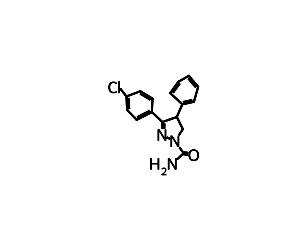 NC(=O)N1CC(c2ccccc2)C(c2ccc(Cl)cc2)=N1